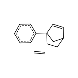 C1=CC2(c3ccccc3)CCC1C2.C=C